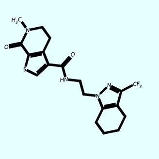 CN1CCc2c(C(=O)NCCn3nc(C(F)(F)F)c4c3CCCC4)csc2C1=O